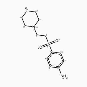 Nc1ccc(S(=O)(=O)CCN2CCOCC2)cc1